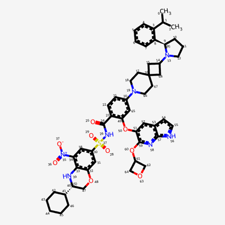 CC(C)c1ccccc1[C@H]1CCCN1C1CC2(CCN(c3ccc(C(=O)NS(=O)(=O)c4cc5c(c([N+](=O)[O-])c4)N[C@@H](C4CCCCC4)CO5)c(Oc4cc5cc[nH]c5nc4OC4COC4)c3)CC2)C1